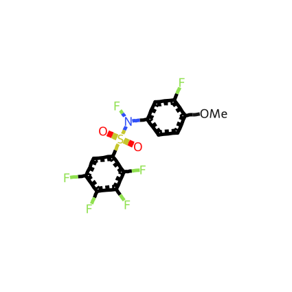 COc1ccc(N(F)S(=O)(=O)c2cc(F)c(F)c(F)c2F)cc1F